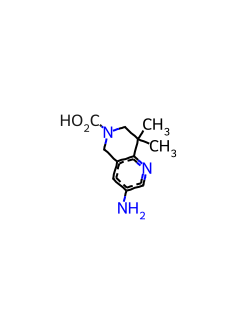 CC1(C)CN(C(=O)O)Cc2cc(N)cnc21